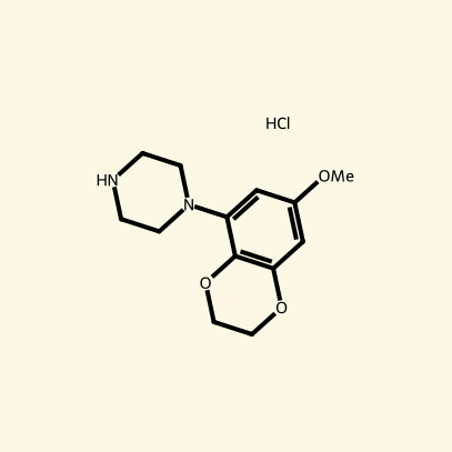 COc1cc2c(c(N3CCNCC3)c1)OCCO2.Cl